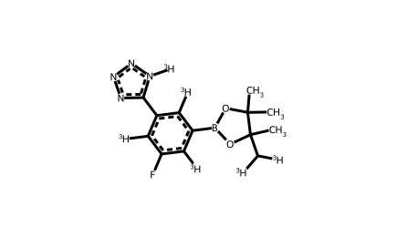 [3H]c1c(F)c([3H])c(-c2nnnn2[3H])c([3H])c1B1OC(C)(C)C(C)(C([3H])[3H])O1